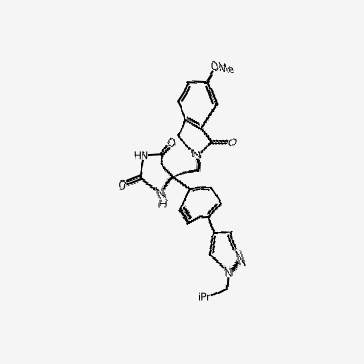 COc1ccc2c(c1)C(=O)N(C[C@@]1(c3ccc(-c4cnn(CC(C)C)c4)cc3)NC(=O)NC1=O)C2